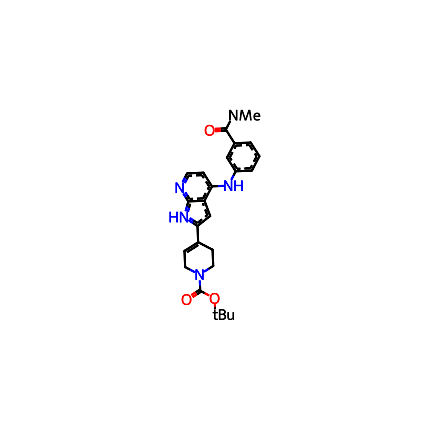 CNC(=O)c1cccc(Nc2ccnc3[nH]c(C4=CCN(C(=O)OC(C)(C)C)CC4)cc23)c1